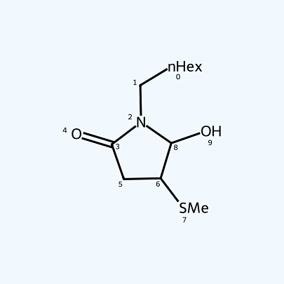 CCCCCCCN1C(=O)CC(SC)C1O